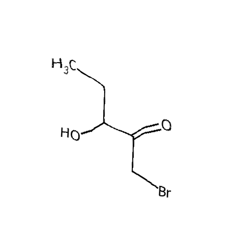 CCC(O)C(=O)CBr